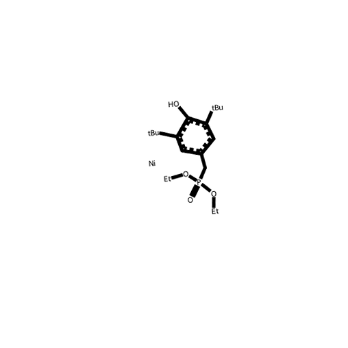 CCOP(=O)(Cc1cc(C(C)(C)C)c(O)c(C(C)(C)C)c1)OCC.[Ni]